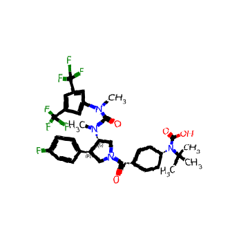 CN(C(=O)N(C)[C@@H]1CN(C(=O)[C@H]2CC[C@@H](N(C(=O)O)C(C)(C)C)CC2)C[C@H]1c1ccc(F)cc1)c1cc(C(F)(F)F)cc(C(F)(F)F)c1